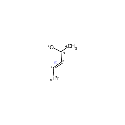 CC(C)/C=C/C(C)[O]